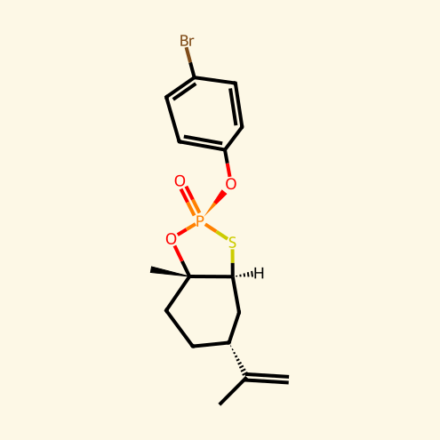 C=C(C)[C@@H]1CC[C@]2(C)O[P@@](=O)(Oc3ccc(Br)cc3)S[C@H]2C1